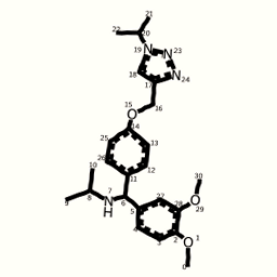 COc1ccc(C(NC(C)C)c2ccc(OCc3cn(C(C)C)nn3)cc2)cc1OC